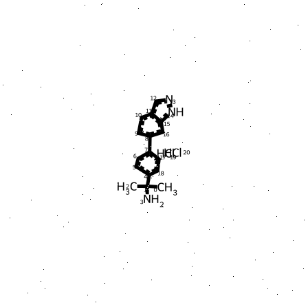 CC(C)(N)c1ccc(-c2ccc3cn[nH]c3c2)cc1.Cl.Cl